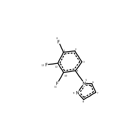 Fc1ccc(-n2cccn2)c(F)c1F